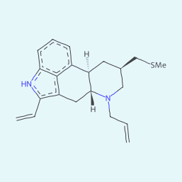 C=CCN1C[C@H](CSC)C[C@@H]2c3cccc4[nH]c(C=C)c(c34)C[C@H]21